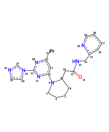 CC(C)c1cc(N2CCCCC2CC(=O)NCc2ccccn2)nc(-n2ccnc2)n1